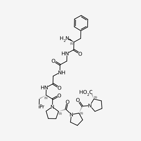 CC(C)C[C@H](NC(=O)CNC(=O)CNC(=O)[C@@H](N)Cc1ccccc1)C(=O)N1CCC[C@H]1C(=O)N1CCC[C@H]1C(=O)N1CCC[C@H]1C(=O)O